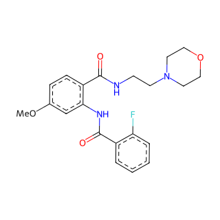 COc1ccc(C(=O)NCCN2CCOCC2)c(NC(=O)c2ccccc2F)c1